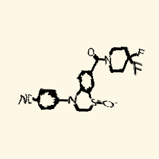 N#Cc1ccc(N2CC[S+]([O-])c3cc(C(=O)N4CCC(F)(F)CC4)ccc32)cc1